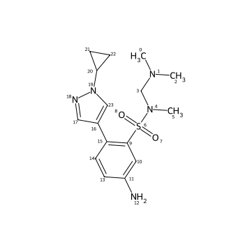 CN(C)CN(C)S(=O)(=O)c1cc(N)ccc1-c1cnn(C2CC2)c1